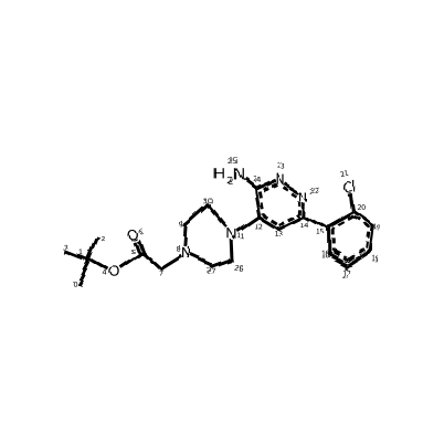 CC(C)(C)OC(=O)CN1CCN(c2cc(-c3ccccc3Cl)nnc2N)CC1